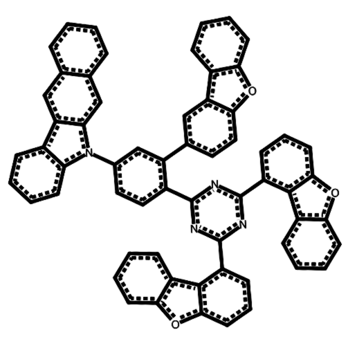 c1ccc2cc3c(cc2c1)c1ccccc1n3-c1ccc(-c2nc(-c3cccc4oc5ccccc5c34)nc(-c3cccc4oc5ccccc5c34)n2)c(-c2ccc3oc4ccccc4c3c2)c1